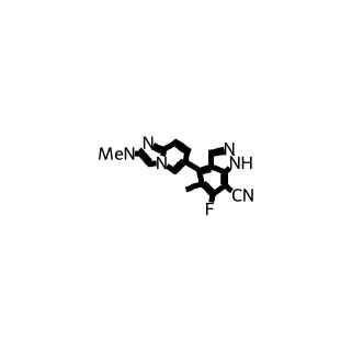 CNc1cn2cc(-c3c(C)c(F)c(C#N)c4[nH]ncc34)ccc2n1